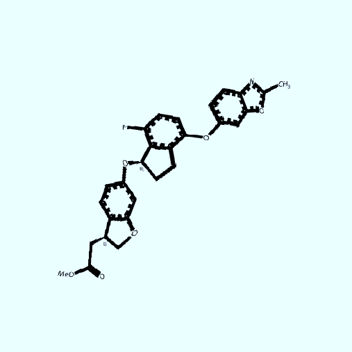 COC(=O)C[C@@H]1COc2cc(O[C@@H]3CCc4c(Oc5ccc6nc(C)oc6c5)ccc(F)c43)ccc21